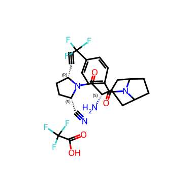 C#C[C@H]1CC[C@@H](C#N)N1C(=O)[C@@H](N)C1CC2CCC(C1)N2C(=O)c1ccc(C(F)(F)F)cc1.O=C(O)C(F)(F)F